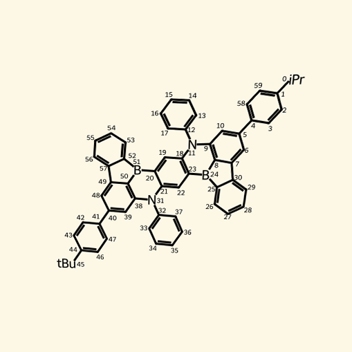 CC(C)c1ccc(-c2cc3c4c(c2)N(c2ccccc2)c2cc5c(cc2B4c2ccccc2-3)N(c2ccccc2)c2cc(-c3ccc(C(C)(C)C)cc3)cc3c2B5c2ccccc2-3)cc1